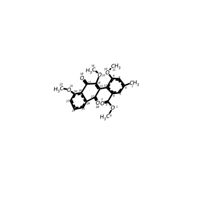 COC(=O)c1cc(C)cc(OC)c1C1=C(OC)C(=O)c2c(OC)cccc2C1=O